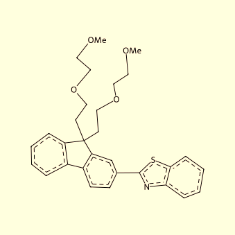 COCCOCCC1(CCOCCOC)c2ccccc2-c2ccc(-c3nc4ccccc4s3)cc21